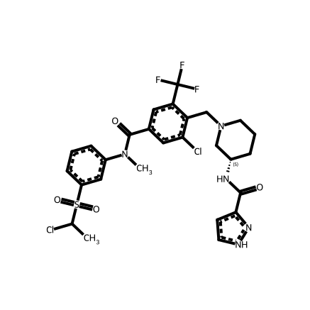 CC(Cl)S(=O)(=O)c1cccc(N(C)C(=O)c2cc(Cl)c(CN3CCC[C@H](NC(=O)c4cc[nH]n4)C3)c(C(F)(F)F)c2)c1